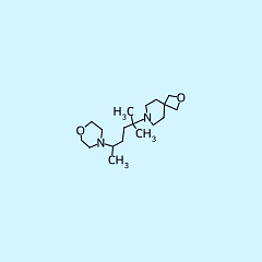 CC(CCC(C)(C)N1CCC2(CC1)COC2)N1CCOCC1